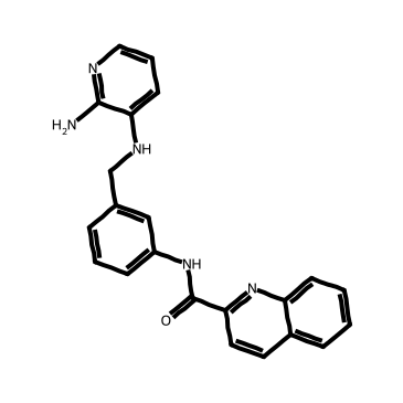 Nc1ncccc1NCc1cccc(NC(=O)c2ccc3ccccc3n2)c1